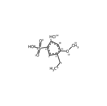 CCc1cc(S(=O)(=O)O)ccc1OC.Cl